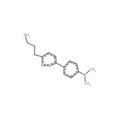 CN(C)c1ccc(-c2ccc(CCCN)nn2)cc1